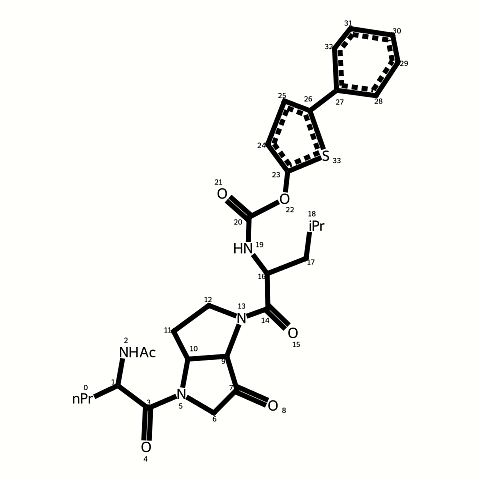 CCCC(NC(C)=O)C(=O)N1CC(=O)C2C1CCN2C(=O)C(CC(C)C)NC(=O)Oc1ccc(-c2ccccc2)s1